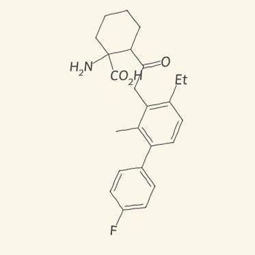 CCc1ccc(-c2ccc(F)cc2)c(C)c1CC(=O)C1CCCCC1(N)C(=O)O